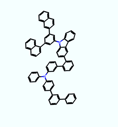 c1ccc(-c2cccc(-c3ccc(N(c4ccccc4)c4cccc(-c5ccccc5-c5ccc6c(c5)c5ccccc5n6-c5cc(-c6ccc7ccccc7c6)cc(-c6cccc7ccccc67)c5)c4)cc3)c2)cc1